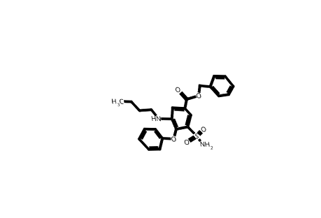 CCCCNc1cc(C(=O)OCc2ccccc2)cc(S(N)(=O)=O)c1Oc1ccccc1